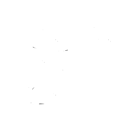 [C-]#[N+]c1ccc(CN2C(=O)[C@@H]3C[C@H]2CN3C[C@H](C)C(=O)N2CCC[C@H]2C#N)cc1